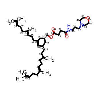 C=C(CC/C=C(\C)CCC=C(C)C)CC[C@H]1C=C(CC/C=C(\C)CCC=C(C)C)C[C@@H](COC(=O)CCC(=O)NCCCN2CCOCC2)C1